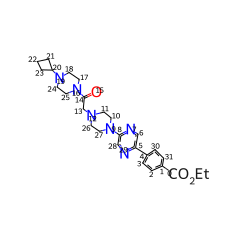 CCOC(=O)c1ccc(-c2cnc(N3CCN(CC(=O)N4CCN(C5CCC5)CC4)CC3)cn2)cc1